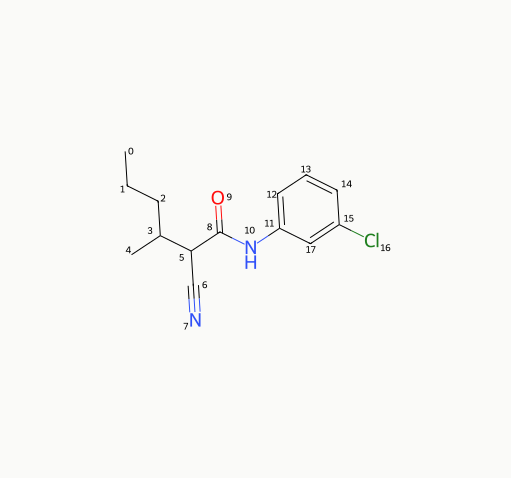 CCCC(C)C(C#N)C(=O)Nc1cccc(Cl)c1